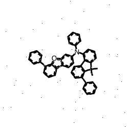 CC1(C)c2cccc(N(c3ccccc3)c3ccc4c(c3)oc3c(-c5ccccc5)cccc34)c2-c2cccc(-c3ccccc3)c21